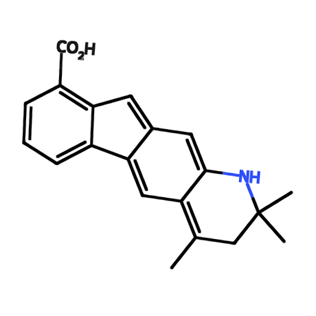 CC1=c2cc3c(cc2NC(C)(C)C1)=Cc1c(C(=O)O)cccc1-3